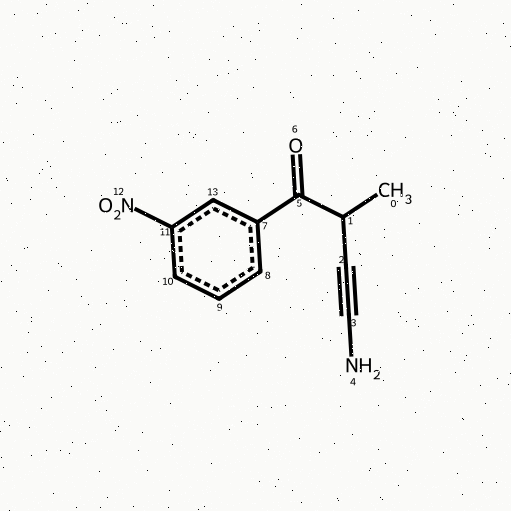 CC(C#CN)C(=O)c1cccc([N+](=O)[O-])c1